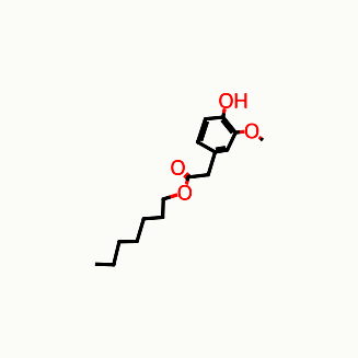 CCCCCCCOC(=O)Cc1ccc(O)c(OC)c1